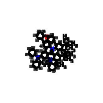 CC(C)(C)c1ccc(N2B3c4cc(C(C)(C)C)cc5c4N(c4cc(N(c6ccccc6)c6ccccc6)cc(c43)-c3cc4c(cc32)oc2ccccc24)C2(C)CCCCC52C)c(-c2ccccc2)c1